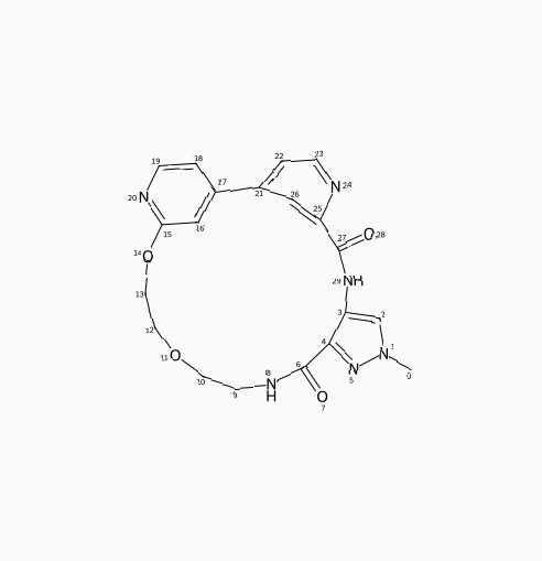 Cn1cc2c(n1)C(=O)NCCOCCOc1cc(ccn1)-c1ccnc(c1)C(=O)N2